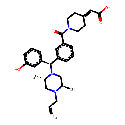 C=CCN1C[C@H](C)N([C@@H](c2cccc(O)c2)c2cccc(C(=O)N3CCC(=CC(=O)O)CC3)c2)C[C@H]1C